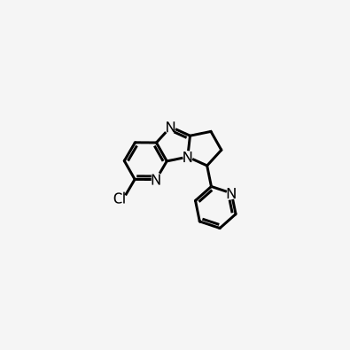 Clc1ccc2nc3n(c2n1)C(c1ccccn1)CC3